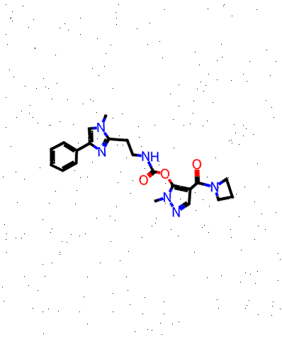 Cn1cc(-c2ccccc2)nc1CCNC(=O)Oc1c(C(=O)N2CCC2)cnn1C